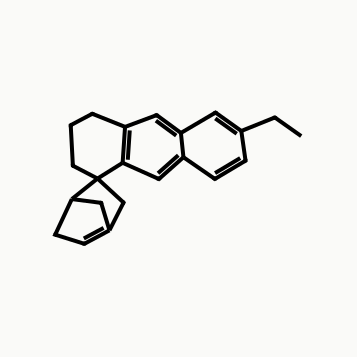 CCc1ccc2cc3c(cc2c1)CCCC31CC2=CCC1C2